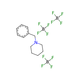 F[B-](F)(F)F.F[B-](F)(F)F.F[B-](F)(F)F.c1ccc(CN2CCCCC2)cc1